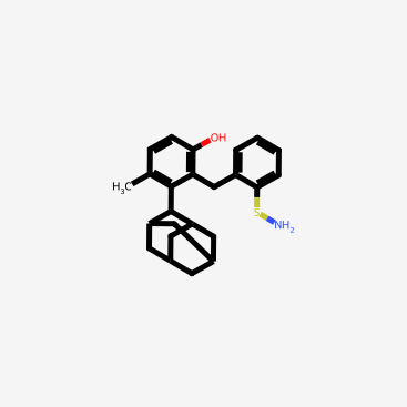 Cc1ccc(O)c(Cc2ccccc2SN)c1C1C2CC3CC(C2)CC1C3